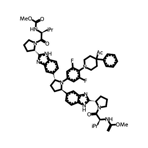 C=C(N[C@H](C(=O)N1CCC[C@H]1c1nc2cc([C@H]3CC[C@H](c4ccc5[nH]c([C@@H]6CCCN6C(=O)[C@@H](NC(=O)OC)C(C)C)nc5c4)N3c3cc(F)c(N4CCC(C(C)=O)(c5ccccc5)CC4)c(F)c3)ccc2[nH]1)C(C)C)OC